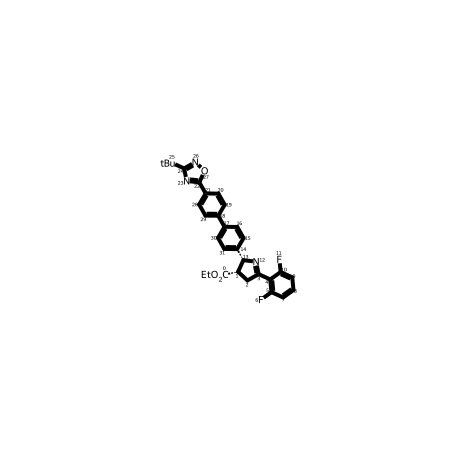 CCOC(=O)[C@H]1CC(c2c(F)cccc2F)=N[C@H]1c1ccc(-c2ccc(-c3nc(C(C)(C)C)no3)cc2)cc1